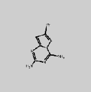 CC(C)c1cc2nc(N)nc(N)n2n1